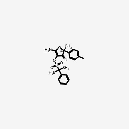 BC(B)(c1ccccc1)S(=O)(=O)OC1=C(N)O[C@](B)(c2ccc(C)cc2)C1=O